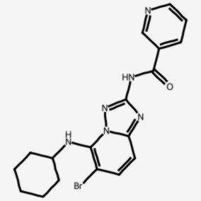 O=C(Nc1nc2ccc(Br)c(NC3CCCCC3)n2n1)c1cccnc1